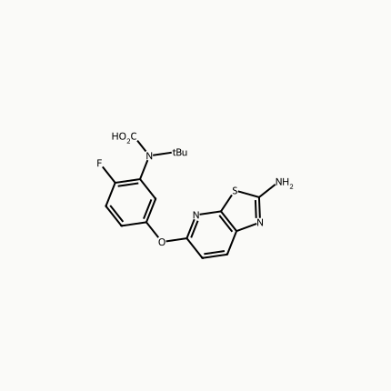 CC(C)(C)N(C(=O)O)c1cc(Oc2ccc3nc(N)sc3n2)ccc1F